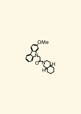 COc1ccc2c3ccccc3n(CC(=O)N3CC[C@@H]4CCCC[C@@H]4C3)c2c1